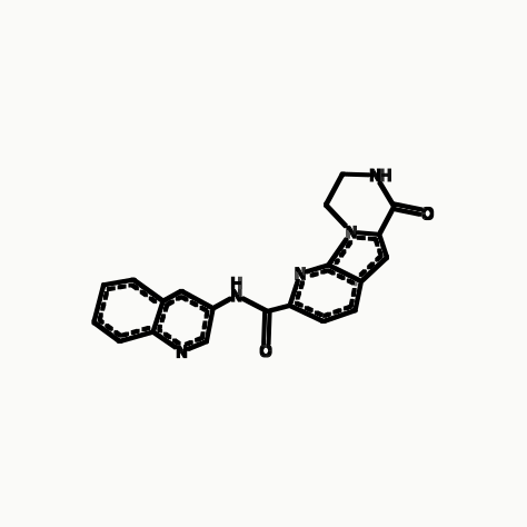 O=C(Nc1cnc2ccccc2c1)c1ccc2cc3n(c2n1)CCNC3=O